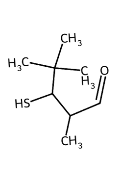 CC(C=O)C(S)C(C)(C)C